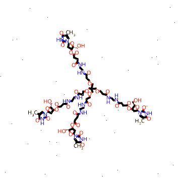 Cc1cn([C@H]2CC(OC(=O)CCC(=O)NCCNC(=O)CCOCC(COCCC(=O)NCCNC(=O)CCC(=O)OC3C[C@H](n4cc(C)c(=O)[nH]c4=O)O[C@@H]3CO)(COCCC(=O)NCCNC(=O)CCC(=O)OC3C[C@H](n4cc(C)c(=O)[nH]c4=O)O[C@@H]3CO)COCCC(=O)NCCNC(=O)CCC(=O)OC3C[C@H](n4cc(C)c(=O)[nH]c4=O)O[C@@H]3CO)[C@@H](CO)O2)c(=O)[nH]c1=O